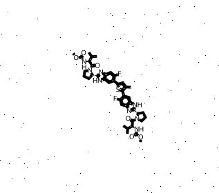 COC(=O)N[C@H](C(=O)N1CCC[C@H]1c1nc2cc(F)c(-c3cc(C)c(-c4cc5[nH]c([C@@H]6CCCN6C(=O)[C@@H](NC(=O)OC)C(C)C)nc5cc4F)s3)cc2[nH]1)C(C)C